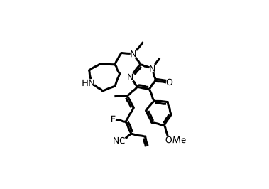 C=C/C(C#N)=C(F)\C=C(/C)c1nc(N(C)CC2CCCNCC2)n(C)c(=O)c1-c1ccc(OC)cc1